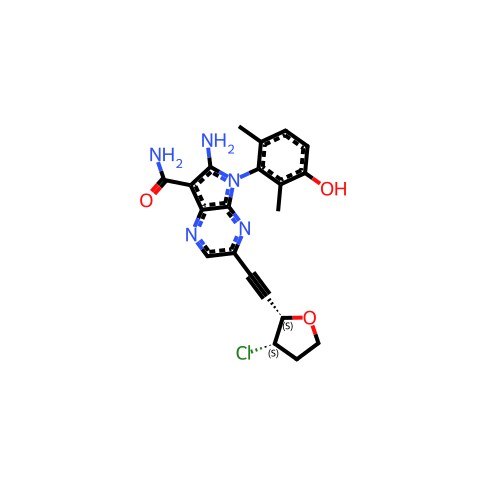 Cc1ccc(O)c(C)c1-n1c(N)c(C(N)=O)c2ncc(C#C[C@@H]3OCC[C@@H]3Cl)nc21